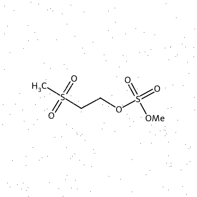 COS(=O)(=O)OCCS(C)(=O)=O